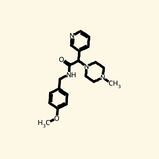 COc1ccc(CNC(=O)C(c2cccnc2)N2CCN(C)CC2)cc1